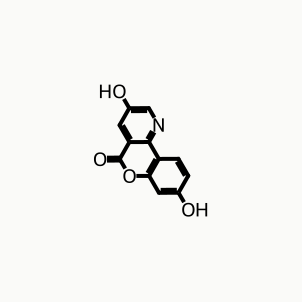 O=c1oc2cc(O)ccc2c2ncc(O)cc12